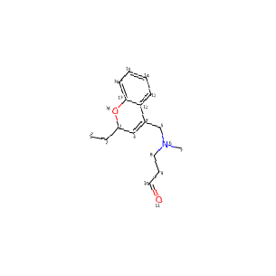 CCC1C=C(CN(C)CCC=O)c2ccccc2O1